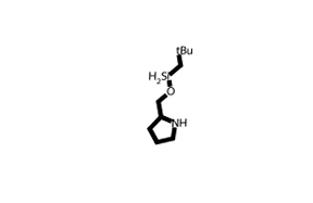 CC(C)(C)C[SiH2]OCC1CCCN1